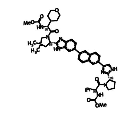 COC(=O)N[C@H](C(=O)N1CCC[C@H]1c1nc(-c2ccc3cc(-c4ccc5nc([C@@H]6CS(C)(C)CN6C(=O)[C@@H](NC(=O)OC)C6CCOCC6)[nH]c5c4)ccc3c2)c[nH]1)C(C)C